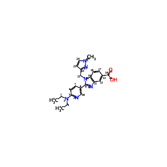 CCN(CC)c1ccc(-c2nc3cc(C(=O)O)ccc3n2Cc2ccn(C)n2)cn1